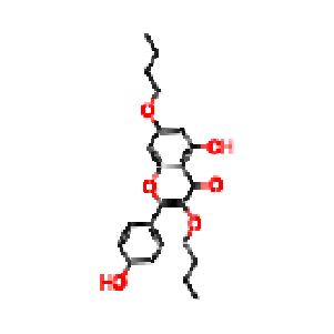 CCCCOc1cc(O)c2c(=O)c(OCCCC)c(-c3ccc(O)cc3)oc2c1